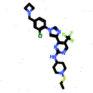 CCSN1CCC(Nc2ncc(C(F)(F)F)c(-c3cn(-c4ccc(CN5CCC5)cc4Cl)cn3)n2)CC1